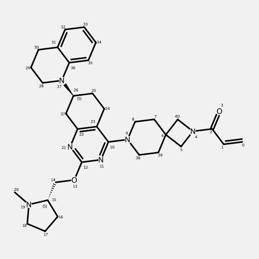 C=CC(=O)N1CC2(CCN(c3nc(OC[C@@H]4CCCN4C)nc4c3CC[C@H](N3CCCc5ccccc53)C4)CC2)C1